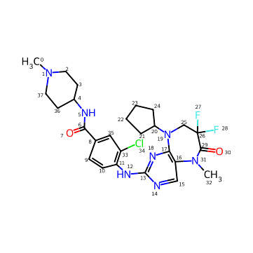 CN1CCC(NC(=O)c2ccc(Nc3ncc4c(n3)N(C3CCCC3)CC(F)(F)C(=O)N4C)c(Cl)c2)CC1